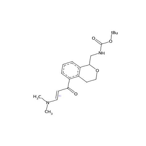 CN(C)/C=C/C(=O)c1cccc2c1CCOC2CNC(=O)OC(C)(C)C